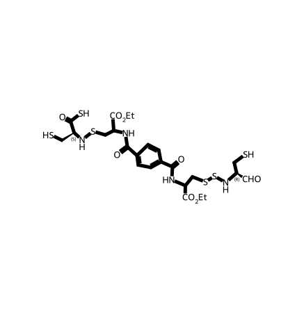 CCOC(=O)C(CSN[C@@H](CS)C(=O)S)NC(=O)c1ccc(C(=O)NC(CSSN[C@H](C=O)CS)C(=O)OCC)cc1